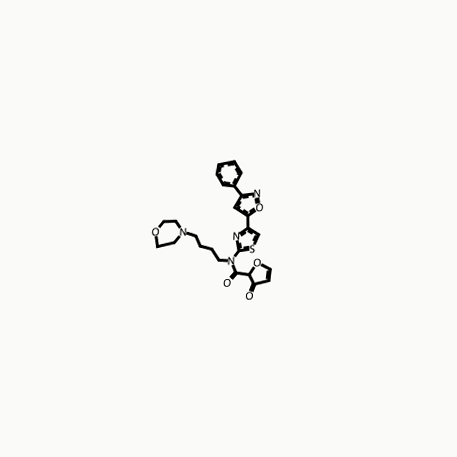 O=C1C=COC1C(=O)N(CCCCN1CCOCC1)c1nc(-c2cc(-c3ccccc3)no2)cs1